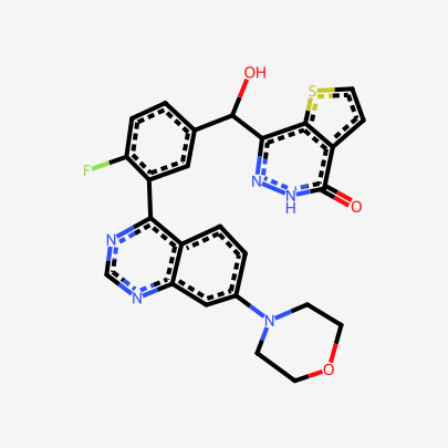 O=c1[nH]nc(C(O)c2ccc(F)c(-c3ncnc4cc(N5CCOCC5)ccc34)c2)c2sccc12